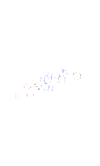 OC[C@H]1C[C@@H](n2cnc3c(N[C@H]4CCN(Cc5ccccc5)C4)ncnc32)[C@H](O)[C@@H]1O